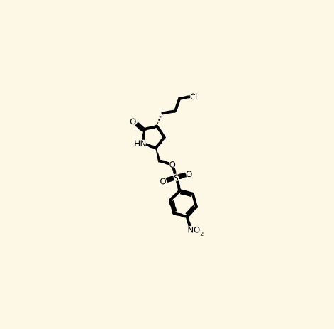 O=C1N[C@H](COS(=O)(=O)c2ccc([N+](=O)[O-])cc2)C[C@H]1CCCCl